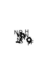 Cc1csc(-c2nc(NC3CCC(F)(F)CC3)cc(=O)n2CC#N)n1